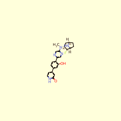 CN(c1cnc(-c2ccc(-c3cc[nH]c(=O)c3)cc2O)cn1)[C@@H]1C[C@H]2CC[C@H](N2)[C@@H]1F